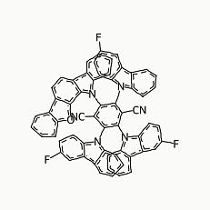 N#Cc1c(-n2c3ccccc3c3cc(F)ccc32)c(-n2c3ccccc3c3cc(F)ccc32)c(C#N)c(-n2c3ccccc3c3ccc4c5ccccc5oc4c32)c1-n1c2ccccc2c2cc(F)ccc21